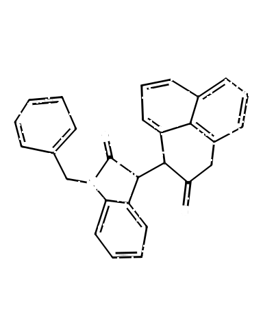 O=C1Cc2cccc3cccc(c23)C1C1C(=O)N(Cc2ccccc2)c2ccccc21